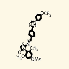 COc1cc(C)c(N2C(=O)CSC2=NN=Cc2ccc(-c3ncn(-c4ccc(OC(F)(F)F)cc4)n3)cc2)c(C)c1